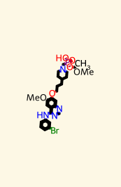 COc1cc2c(Nc3cccc(Br)c3)ncnc2cc1OCCCC1CCN(CP(=O)(O)OC(C)OC)CC1